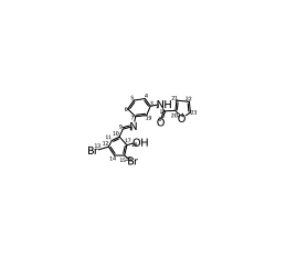 O=C(Nc1cccc(/N=C/c2cc(Br)cc(Br)c2O)c1)c1ccco1